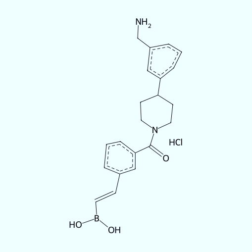 Cl.NCc1cccc(C2CCN(C(=O)c3cccc(C=CB(O)O)c3)CC2)c1